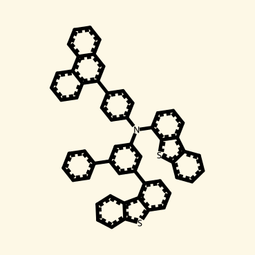 c1ccc(-c2cc(-c3cccc4sc5ccccc5c34)cc(N(c3ccc(-c4cc5ccccc5c5ccccc45)cc3)c3cccc4c3sc3ccccc34)c2)cc1